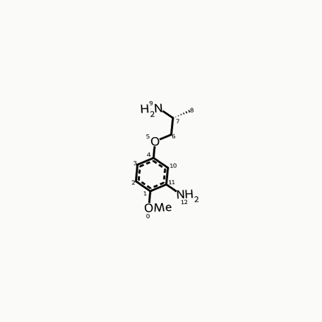 COc1ccc(OC[C@@H](C)N)cc1N